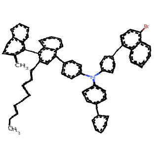 CCCCCCCCc1cc(-c2ccc(N(c3ccc(-c4ccccc4)cc3)c3ccc(-c4ccc(Br)c5ccccc45)cc3)cc2)c2ccccc2c1-c1c(C)ccc2ccccc12